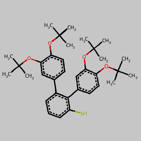 CC(C)(C)Oc1ccc(-c2cccc(S)c2-c2ccc(OC(C)(C)C)c(OC(C)(C)C)c2)cc1OC(C)(C)C